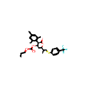 C=CCOC(=O)OC1=C(c2c(C)cc(C)cc2C)C(=O)OC(C(C)CSc2ccc(C(F)(F)F)cc2)C1